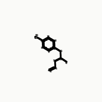 [CH]=CCC(C)Cc1ccc(Cl)cc1